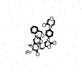 CC(C)[C@@H](C(=O)NC[C@H]1CN(c2ccc(N3CCOCC3=O)cc2)C(=O)O1)N(C)C(=O)CN(C)C(=O)OCc1ccccc1